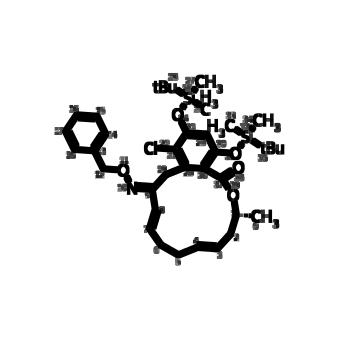 C[C@@H]1C/C=C/CC/C=C/C(=N/OCc2ccccc2)Cc2c(Cl)c(O[Si](C)(C)C(C)(C)C)cc(O[Si](C)(C)C(C)(C)C)c2C(=O)O1